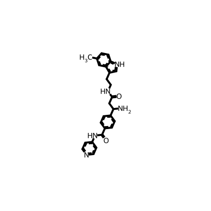 Cc1ccc2[nH]cc(CCNC(=O)CC(N)c3ccc(C(=O)Nc4ccncc4)cc3)c2c1